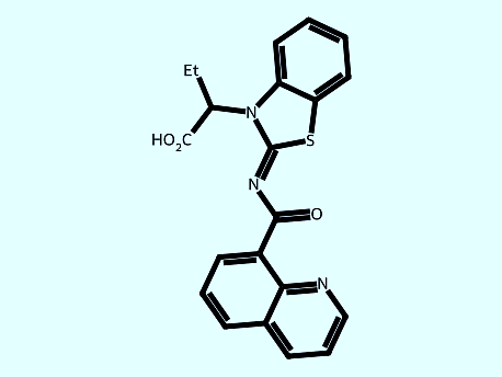 CCC(C(=O)O)n1c(=NC(=O)c2cccc3cccnc23)sc2ccccc21